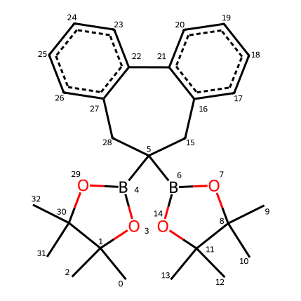 CC1(C)OB(C2(B3OC(C)(C)C(C)(C)O3)Cc3ccccc3-c3ccccc3C2)OC1(C)C